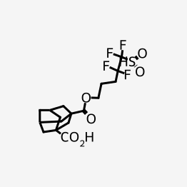 O=C(O)C12CC3CC(C1)CC(C(=O)OCCCC(F)(F)C(F)(F)[SH](=O)=O)(C3)C2